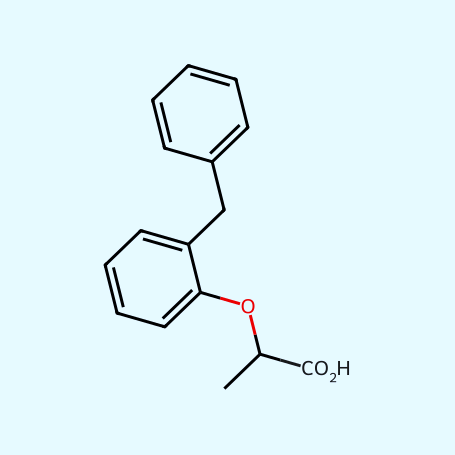 CC(Oc1ccccc1Cc1ccccc1)C(=O)O